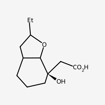 CCC1CC2CCC[C@@](O)(CC(=O)O)C2O1